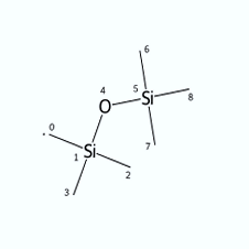 [CH2][Si](C)(C)O[Si](C)(C)C